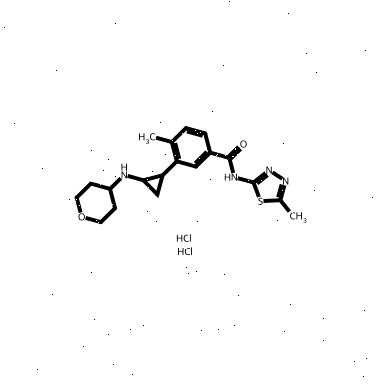 Cc1nnc(NC(=O)c2ccc(C)c(C3CC3NC3CCOCC3)c2)s1.Cl.Cl